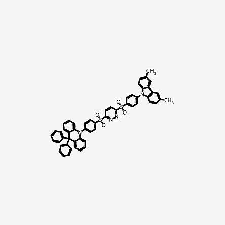 Cc1ccc2c(c1)c1cc(C)ccc1n2-c1ccc(S(=O)(=O)c2ccc(S(=O)(=O)c3ccc(N4c5ccccc5C(c5ccccc5)(c5ccccc5)c5ccccc54)cc3)nn2)cc1